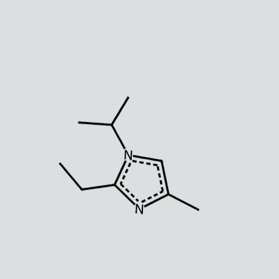 CCc1nc(C)cn1C(C)C